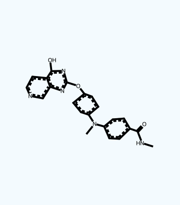 CNC(=O)c1ccc(N(C)c2ccc(Oc3nc(O)c4ccncc4n3)cc2)cc1